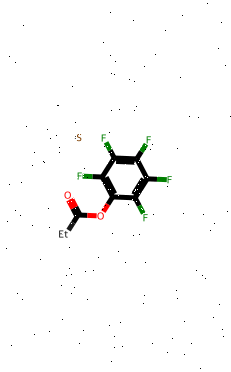 CCC(=O)Oc1c(F)c(F)c(F)c(F)c1F.[S]